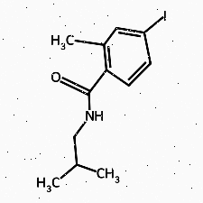 Cc1cc(I)ccc1C(=O)NCC(C)C